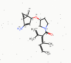 C=C(C)/C(C(=O)N1CC[C@H](OC2C=C(N)C3=C[C@@H]32)C1)=C(C)\C=C/C